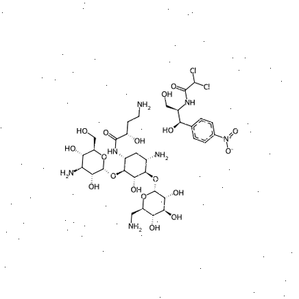 NCC[C@H](O)C(=O)N[C@@H]1C[C@H](N)[C@@H](O[C@H]2O[C@H](CN)[C@@H](O)[C@H](O)[C@H]2O)[C@H](O)[C@H]1O[C@H]1O[C@H](CO)[C@@H](O)[C@H](N)[C@H]1O.O=C(N[C@H](CO)[C@H](O)c1ccc([N+](=O)[O-])cc1)C(Cl)Cl